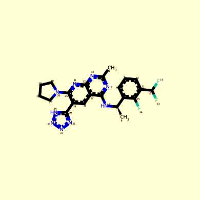 Cc1nc(N[C@H](C)c2cccc(C(F)F)c2F)c2cc(-c3nnn[nH]3)c(N3CCCC3)nc2n1